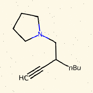 C#CC(CCCC)CN1CCCC1